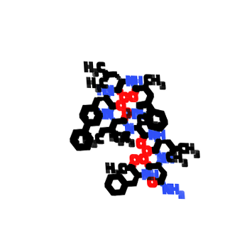 CCC(C)[C@H](NC(=O)[C@H](Cc1ccc(-c2ccccc2)cc1)NC(=O)[C@H](CC(C)C)NC(=O)[C@@H](C)Cc1c[nH]c2ccccc12)C(=O)N(C)[C@@H](C)C(=O)N[C@H](CC(C)C)C(=O)N[C@@H](CC(N)=O)C(=O)N[C@@H](CC1CCCCC1)C(C)=O